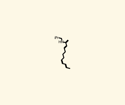 C=C(/C=C/CCC/C=C\C=C\C)NCC(C)C